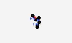 C1=C(c2cccc(-n3c4ccccc4c4c5c(ccc43)NC(c3ccccc3)O5)c2)NCc2ccccc21